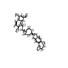 O=c1ccc2c(F)cc(F)cc2n1CCN1CCC(NCc2cc3c(cn2)OCCO3)CC1